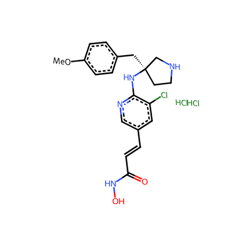 COc1ccc(C[C@@]2(Nc3ncc(/C=C/C(=O)NO)cc3Cl)CCNC2)cc1.Cl.Cl